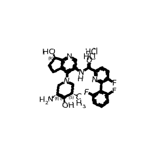 C[C@H]1CN(c2c(NC(=O)c3ccc(F)c(-c4c(F)cccc4F)n3)cnc3c2CC[C@H]3O)C[C@@H](N)[C@@H]1O.Cl.Cl